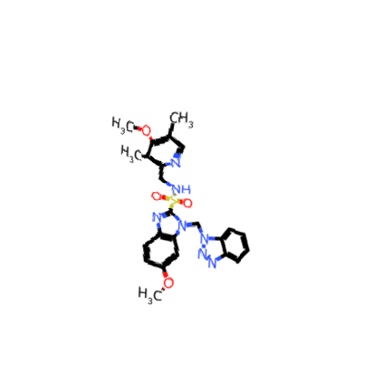 COc1ccc2nc(S(=O)(=O)NCc3ncc(C)c(OC)c3C)n(Cn3nnc4ccccc43)c2c1